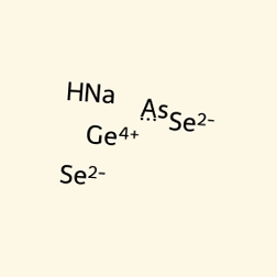 [As].[Ge+4].[NaH].[Se-2].[Se-2]